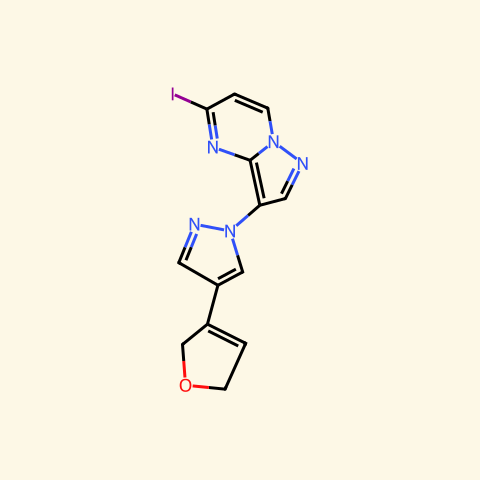 Ic1ccn2ncc(-n3cc(C4=CCOC4)cn3)c2n1